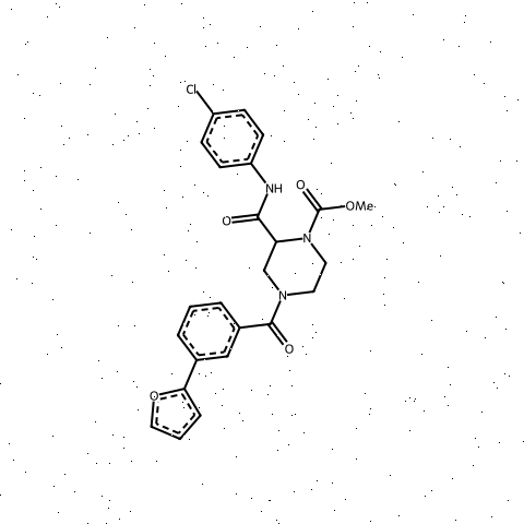 COC(=O)N1CCN(C(=O)c2cccc(-c3ccco3)c2)CC1C(=O)Nc1ccc(Cl)cc1